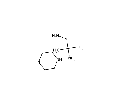 C1CNCCN1.CC(C)(N)CN